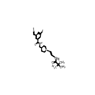 CC(C)(C)C(=O)NCCN1CCC(CNC(=O)c2cc(F)cc(CI)c2)CC1